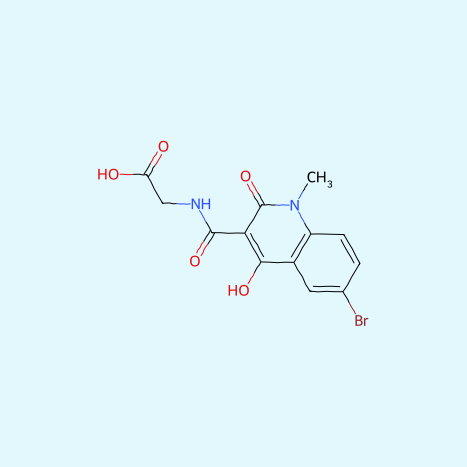 Cn1c(=O)c(C(=O)NCC(=O)O)c(O)c2cc(Br)ccc21